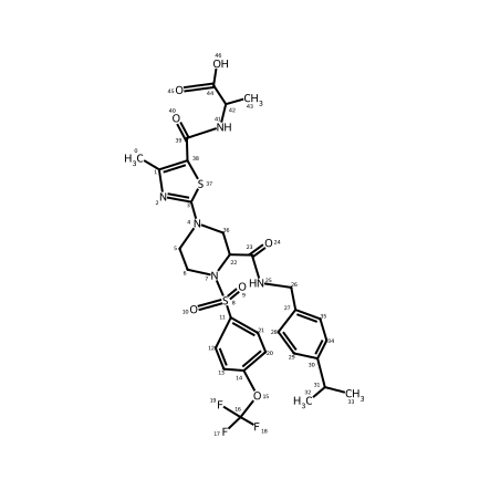 Cc1nc(N2CCN(S(=O)(=O)c3ccc(OC(F)(F)F)cc3)C(C(=O)NCc3ccc(C(C)C)cc3)C2)sc1C(=O)NC(C)C(=O)O